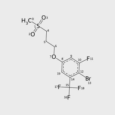 CS(=O)(=O)CCCOc1cc(F)c(Br)c(C(F)(F)F)c1